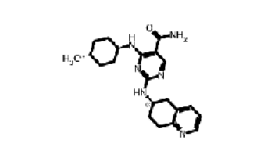 C[C@H]1CC[C@H](Nc2nc(N[C@@H]3CCc4ncccc4C3)ncc2C(N)=O)CC1